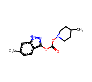 CC1CCN(OC(=O)Oc2n[nH]c3cc([N+](=O)[O-])ccc23)CC1